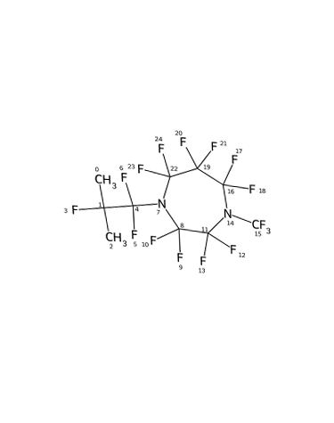 CC(C)(F)C(F)(F)N1C(F)(F)C(F)(F)N(C(F)(F)F)C(F)(F)C(F)(F)C1(F)F